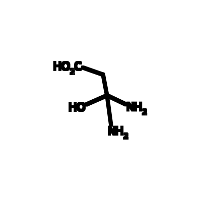 NC(N)(O)CC(=O)O